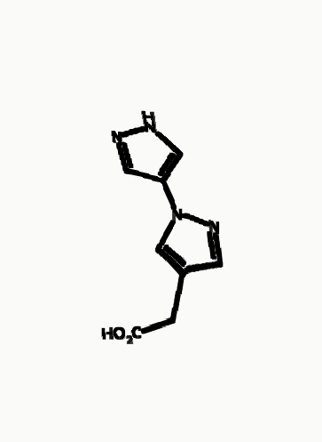 O=C(O)Cc1cnn(-c2cn[nH]c2)c1